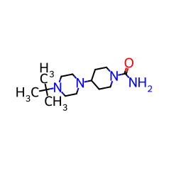 CC(C)(C)N1CCN(C2CCN(C(N)=O)CC2)CC1